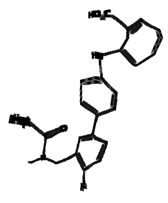 CCCCCCCC(=O)N(C)Cc1cc(-c2ccc(Nc3ccccc3C(=O)O)cc2)ccc1F